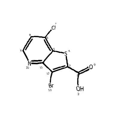 O=C(O)c1sc2c(Cl)ccnc2c1Br